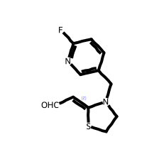 O=C/C=C1\SCCN1Cc1ccc(F)nc1